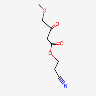 COCC(=O)CC(=O)OCCC#N